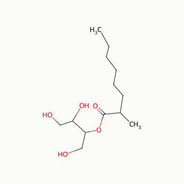 CCCCCCC(C)C(=O)OC(CO)C(O)CO